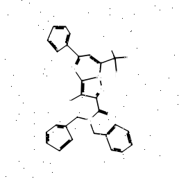 O=C(c1nn2c(C(F)(F)F)cc(-c3ccccc3)nc2c1Cl)N(Cc1ccccc1)Cc1ccccc1